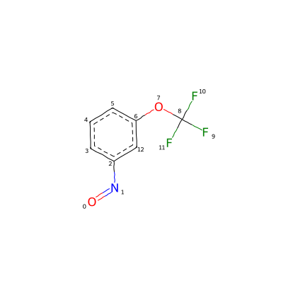 O=Nc1cccc(OC(F)(F)F)c1